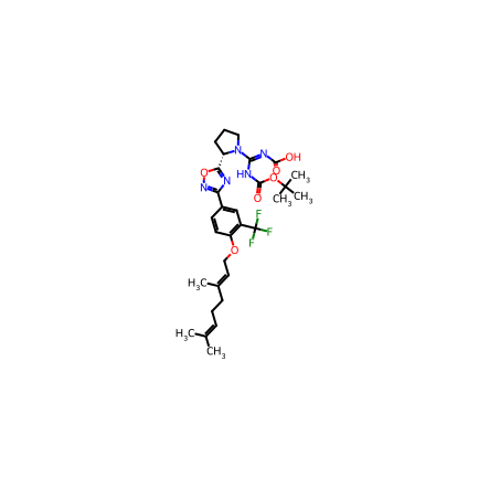 CC(C)=CCC/C(C)=C/COc1ccc(-c2noc([C@@H]3CCCN3/C(=N/C(=O)O)NC(=O)OC(C)(C)C)n2)cc1C(F)(F)F